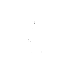 O=C(O)c1cc2cccnc2cn1